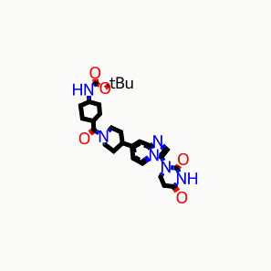 CC(C)(C)OC(=O)NC1CCC(C(=O)N2CCC(c3ccn4c(N5CCC(=O)NC5=O)cnc4c3)CC2)CC1